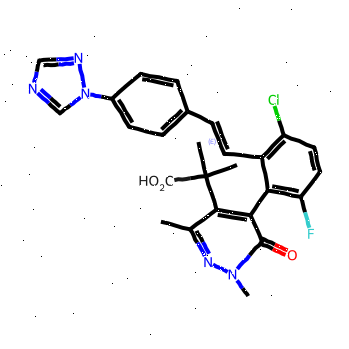 Cc1nn(C)c(=O)c(-c2c(F)ccc(Cl)c2/C=C/c2ccc(-n3cncn3)cc2)c1C(C)(C)C(=O)O